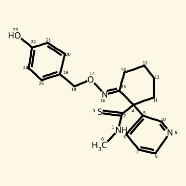 CNC(=S)C1(c2cccnc2)CCCCC1=NOCc1ccc(O)cc1